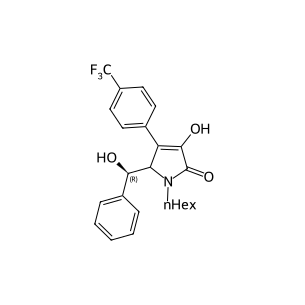 CCCCCCN1C(=O)C(O)=C(c2ccc(C(F)(F)F)cc2)C1[C@H](O)c1ccccc1